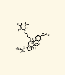 C=C[C@]12CCc3cc(OC)ccc3[C@H]1[C@@H](CCCC[C@@H](O[Si](C)(C)C)C(F)=C(F)F)C[C@]1(C)[C@@H](O[Si](C)(C)C(C)(C)C)CC[C@H]12